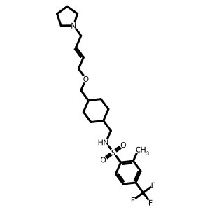 Cc1cc(C(F)(F)F)ccc1S(=O)(=O)NCC1CCC(COCC=CCN2CCCC2)CC1